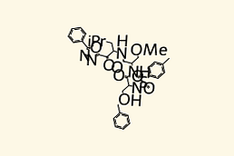 COCC(NC(=O)C(COCc1ccccc1)NS(=O)(=O)c1ccc(C)cc1)C(=O)NC(CC(C)C)C(=O)c1nnc(-c2ccccc2)o1